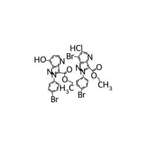 CCOC(=O)c1c2nccc(Br)c2nn1-c1ccc(Br)cc1.CCOC(=O)c1c2nccc(O)c2nn1-c1ccc(Br)cc1.Cl